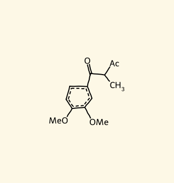 COc1ccc(C(=O)C(C)C(C)=O)cc1OC